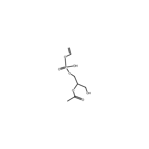 C=COP(=O)(O)OCC(CO)OC(C)=O